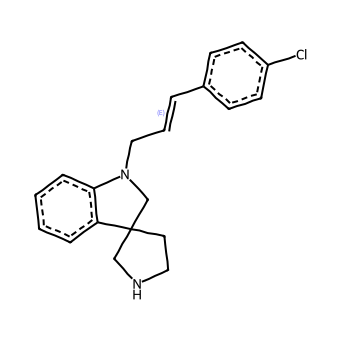 Clc1ccc(/C=C/CN2CC3(CCNC3)c3ccccc32)cc1